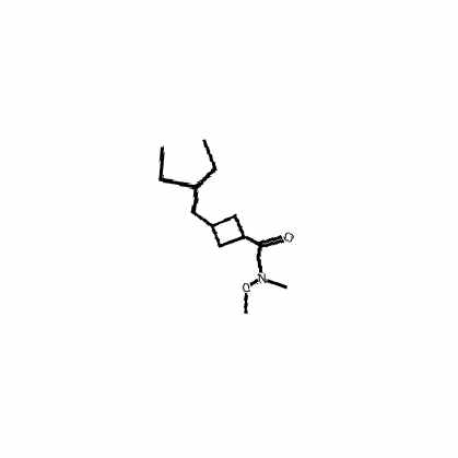 CCC(CC)CC1CC(C(=O)N(C)OC)C1